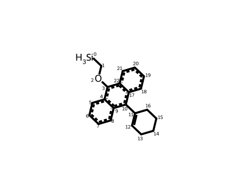 [SiH3]COc1c2ccccc2c(C2=CCCCC2)c2ccccc12